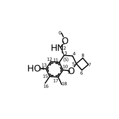 CON[C@H]1CC2(CCC2)Oc2c1cc(O)c(C)c2C